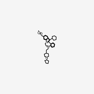 COOCc1ccc2c(C3CCCCC3)c3n(c2c1)CCN(CCC1CCN(C2CCCC2)CC1)c1ccccc1-3